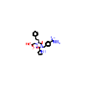 N=C(N)c1ccc(CN(C(=O)[C@@H]2CCCN2)C(=O)[C@H](CCc2ccccc2)NCC(=O)O)cc1